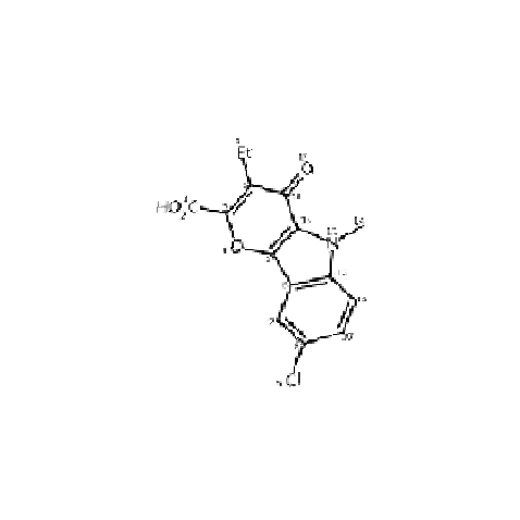 CCc1c(C(=O)O)oc2c3cc(Cl)ccc3n(C)c2c1=O